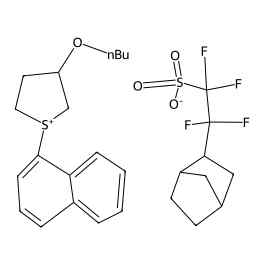 CCCCOC1CC[S+](c2cccc3ccccc23)C1.O=S(=O)([O-])C(F)(F)C(F)(F)C1CC2CCC1C2